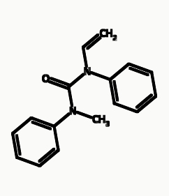 C=CN(C(=O)N(C)c1ccccc1)c1ccccc1